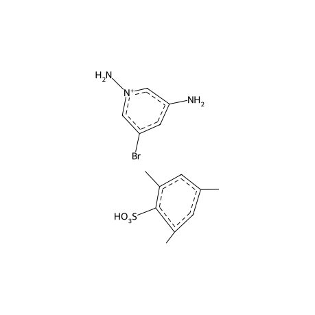 Cc1cc(C)c(S(=O)(=O)O)c(C)c1.Nc1cc(Br)c[n+](N)c1